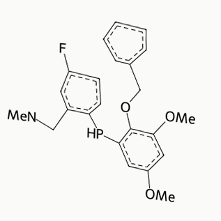 CNCc1cc(F)ccc1Pc1cc(OC)cc(OC)c1OCc1ccccc1